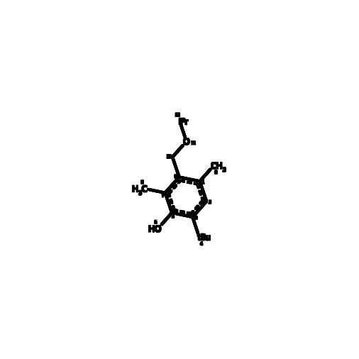 Cc1cc(C(C)(C)C)c(O)c(C)c1COC(C)C